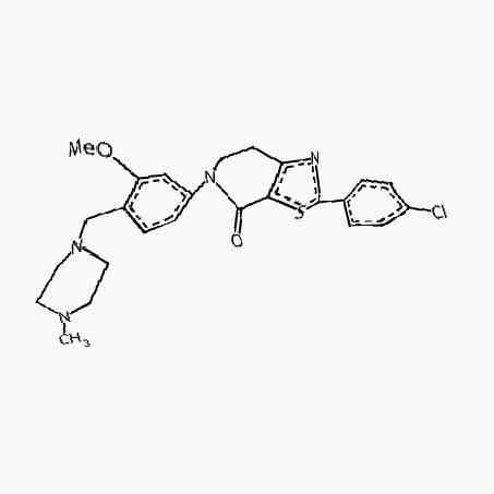 COc1cc(N2CCc3nc(-c4ccc(Cl)cc4)sc3C2=O)ccc1CN1CCN(C)CC1